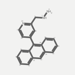 NNCc1cc(-c2c3ccccc3cc3ccccc23)ccn1